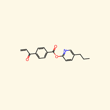 C=CC(=O)c1ccc(C(=O)Oc2ccc(CCC)cn2)cc1